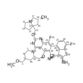 COCC1CCN2c3nc(OCC45CCCN4C[C@H](C)C5)nc4c(F)c(-c5ccc(F)c6sc(N)c(C#N)c56)c(Cl)c(c34)OCC2C1